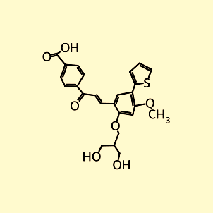 COc1cc(OCC(CO)CO)c(/C=C/C(=O)c2ccc(C(=O)O)cc2)cc1-c1cccs1